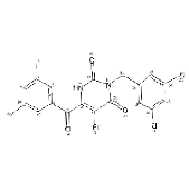 CCc1c(C(=O)c2cc(C)cc(C)c2)[nH]c(=O)n(Cc2cc(Cl)cc(Cl)c2)c1=O